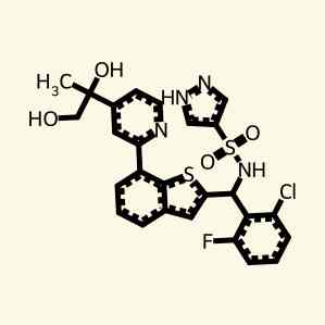 CC(O)(CO)c1ccnc(-c2cccc3cc(C(NS(=O)(=O)c4cn[nH]c4)c4c(F)cccc4Cl)sc23)c1